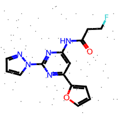 O=C(CCF)Nc1cc(-c2ccco2)nc(-n2cccn2)n1